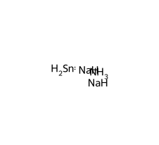 N.[NaH].[NaH].[SnH2]